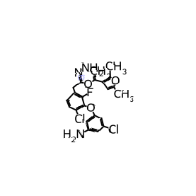 C=C(O/C(Cc1ccc(Cl)c(Oc2cc(N)cc(Cl)c2)c1F)=N\N)c1cc(C)oc1C